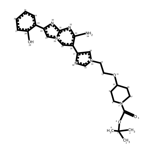 CC(C)(C)OC(=O)N1CCC(OCCn2cnc(-c3cn4cc(-c5ccccc5O)nc4nc3N)c2)CC1